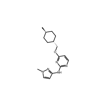 Cn1ccc(Nc2nccc(OC[C@H]3CC[C@H](C)CC3)n2)n1